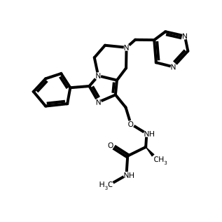 CNC(=O)[C@H](C)NOCc1nc(-c2ccccc2)n2c1CN(Cc1cncnc1)CC2